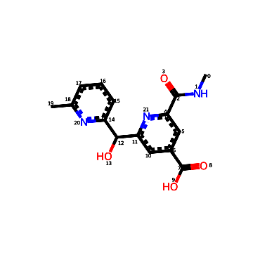 CNC(=O)c1cc(C(=O)O)cc(C(O)c2cccc(C)n2)n1